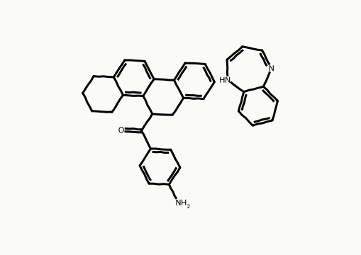 C1=CNc2ccccc2N=C1.Nc1ccc(C(=O)C2Cc3ccccc3-c3ccc4c(c32)CCCC4)cc1